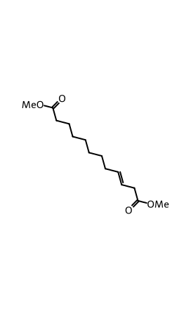 COC(=O)CC=CCCCCCCCC(=O)OC